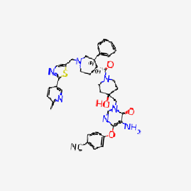 Cc1ccc(-c2ncc(CN3CC[C@@H](C(=O)N4CCC(O)(Cn5cnc(Oc6ccc(C#N)cc6)c(N)c5=O)CC4)[C@H](c4ccccc4)C3)s2)cn1